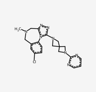 CN1Cc2cc(Cl)ccc2-n2c(nnc2N2CC3(CN(c4ncccn4)C3)C2)C1